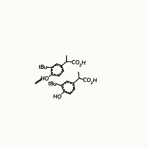 C=C.CC(C(=O)O)c1ccc(O)c(C(C)(C)C)c1.CC(C(=O)O)c1ccc(O)c(C(C)(C)C)c1